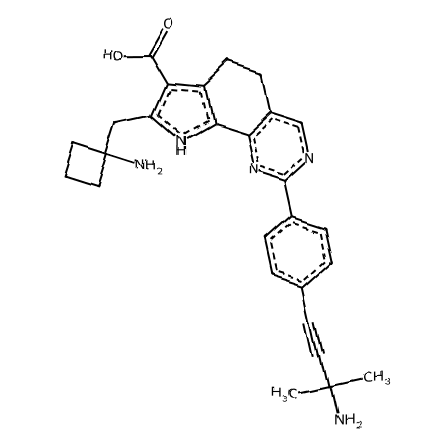 CC(C)(N)C#Cc1ccc(-c2ncc3c(n2)-c2[nH]c(CC4(N)CCC4)c(C(=O)O)c2CC3)cc1